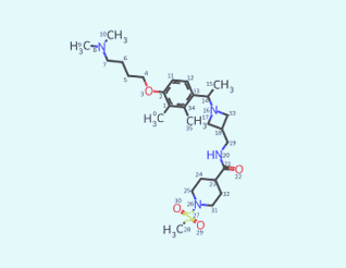 Cc1c(OCCCCN(C)C)ccc(C(C)N2CC(CNC(=O)C3CCN(S(C)(=O)=O)CC3)C2)c1C